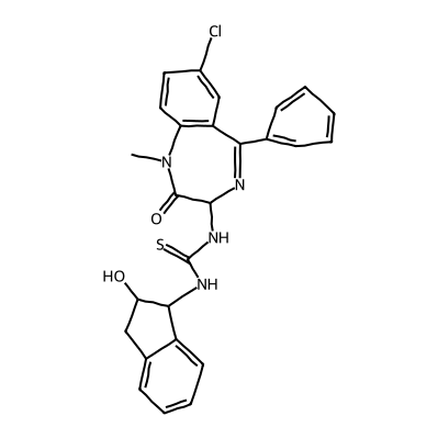 CN1C(=O)C(NC(=S)NC2c3ccccc3CC2O)N=C(c2ccccc2)c2cc(Cl)ccc21